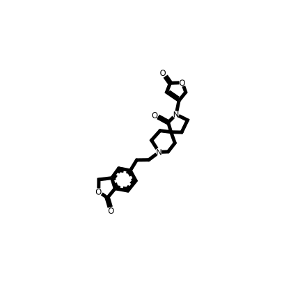 O=C1C=C(N2CCC3(CCN(CCc4ccc5c(c4)COC5=O)CC3)C2=O)CO1